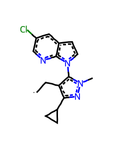 [CH2]Cc1c(C2CC2)nn(C)c1-n1ccc2cc(Cl)cnc21